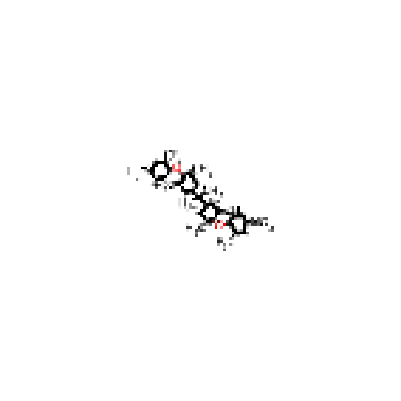 Cc1ccc(Oc2c(C)cc(C(C)(C)c3cc(C)c(Oc4ccc([N+](=O)[O-])cc4C(F)(F)F)c(C)c3)cc2C)c(C(F)(F)F)c1